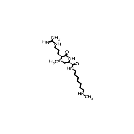 CNCCCCCCCNC(=O)[C@H]1CN(C)[C@@H](CCCNC(=N)N)C(=O)N1